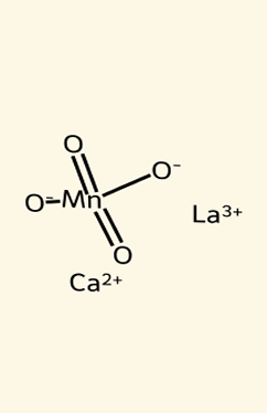 [Ca+2].[La+3].[O]=[Mn](=[O])([O-])[O-]